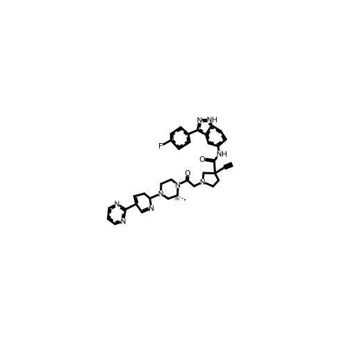 C#CC1(C(=O)Nc2ccc3[nH]nc(-c4ccc(F)cc4)c3c2)CCN(CC(=O)N2CCN(C3CC=C(c4ncccn4)C=N3)C[C@H]2C)C1